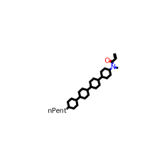 C=CC(=O)N(C)C1CCC(C2CCC(C3CCC(C4CCC(CCCCC)CC4)CC3)CC2)CC1